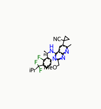 COCc1nc(N[C@H](C)c2cccc(C(F)(F)C(C)C)c2F)c2cc(C3(C#N)CC3)c(C)nc2n1